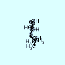 CCCCC(C)(C)[C@H](O)/C=C/C=C\C=C\C=C\[C@@H](O)[C@@H](O)CCCC(=O)O